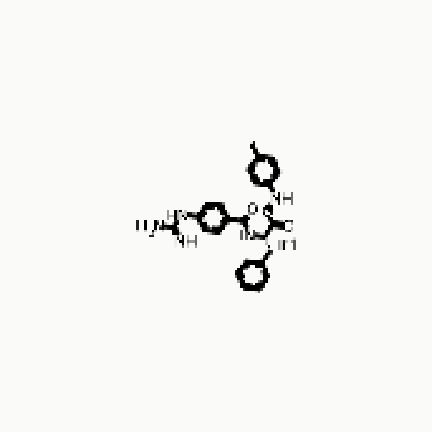 Cc1ccc(NOC(=O)[C@H](Cc2ccccc2)NC(=O)c2ccc(NC(=N)N)cc2)cc1.Cl